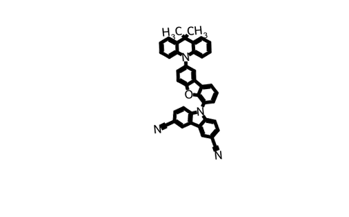 CC1(C)c2ccccc2N(c2ccc3oc4c(-n5c6ccc(C#N)cc6c6cc(C#N)ccc65)cccc4c3c2)c2ccccc21